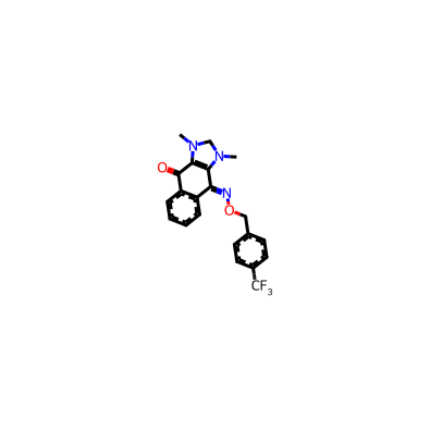 CN1CN(C)C2=C1C(=O)c1ccccc1C2=NOCc1ccc(C(F)(F)F)cc1